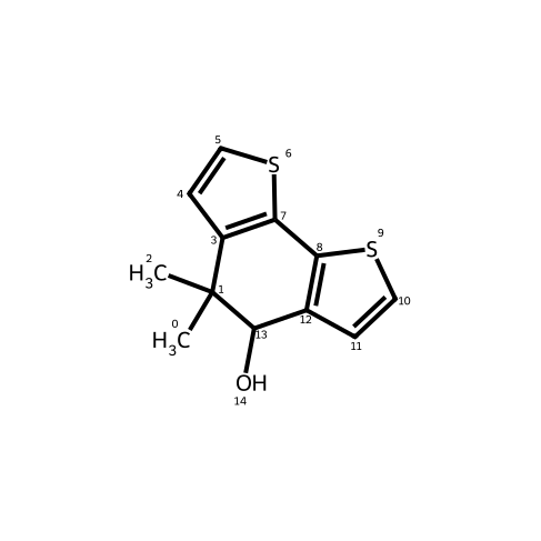 CC1(C)c2ccsc2-c2sccc2C1O